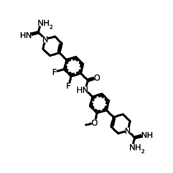 COc1cc(NC(=O)c2ccc(C3=CCN(C(=N)N)CC3)c(F)c2F)ccc1C1=CCN(C(=N)N)CC1